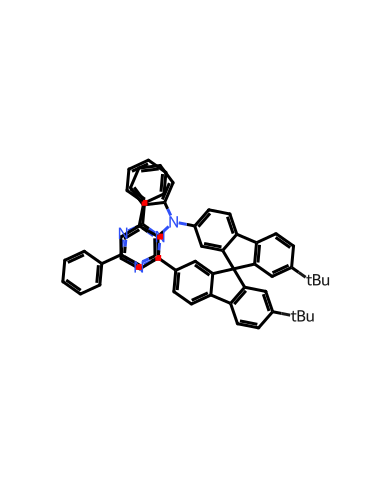 CC(C)(C)c1ccc2c(c1)C1(c3cc(-c4nc(-c5ccccc5)nc(-c5ccccc5)n4)ccc3-2)c2cc(-n3c4ccccc4c4ccccc43)ccc2-c2ccc(C(C)(C)C)cc21